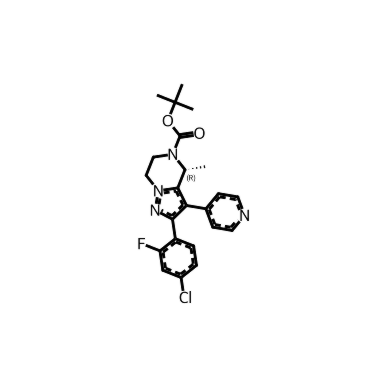 C[C@@H]1c2c(-c3ccncc3)c(-c3ccc(Cl)cc3F)nn2CCN1C(=O)OC(C)(C)C